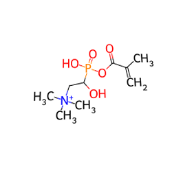 C=C(C)C(=O)OP(=O)(O)C(O)C[N+](C)(C)C